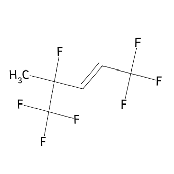 CC(F)(/C=C/C(F)(F)F)C(F)(F)F